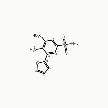 Nc1c(C(=O)O)cc(S(N)(=O)=O)cc1-c1ccco1